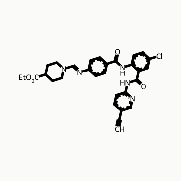 C#Cc1ccc(NC(=O)c2cc(Cl)ccc2NC(=O)c2ccc(N=CN3CCC(C(=O)OCC)CC3)cc2)nc1